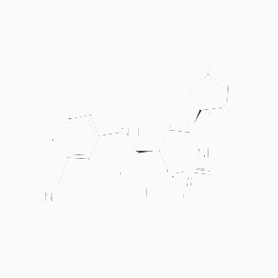 CN1[C@@H](C(=O)Nc2cccc(C#N)c2)C[C@@H](c2cccs2)NS1(=O)=O